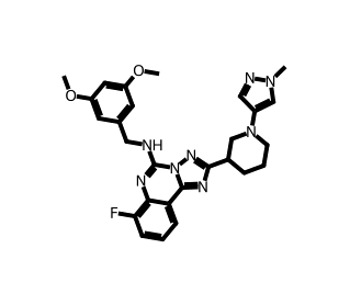 COc1cc(CNc2nc3c(F)cccc3c3nc(C4CCCN(c5cnn(C)c5)C4)nn23)cc(OC)c1